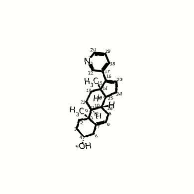 C[C@]12CC[C@@H](O)CC1=CC[C@@H]1[C@@H]2CC[C@]2(C)C(c3cccnc3)=CC[C@@H]12